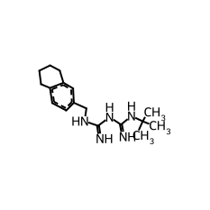 CC(C)(C)NC(=N)NC(=N)NCc1ccc2c(c1)CCCC2